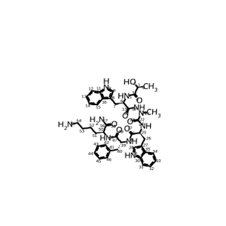 C[C@H](O)C(=O)N[C@H](Cc1c[nH]c2ccccc12)C(=O)NN(C)C(=O)N[C@@H](Cc1c[nH]c2ccccc12)C(=O)N[C@H](Cc1ccccc1)C(=O)N[C@@H](CCCCN)C(N)=O